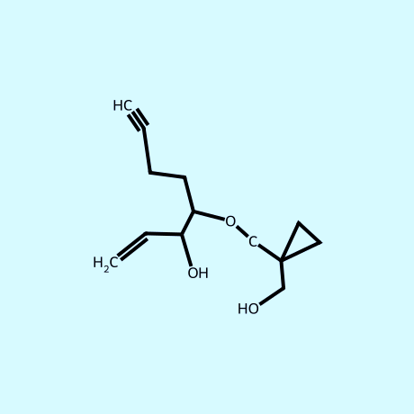 C#CCCC(OCC1(CO)CC1)C(O)C=C